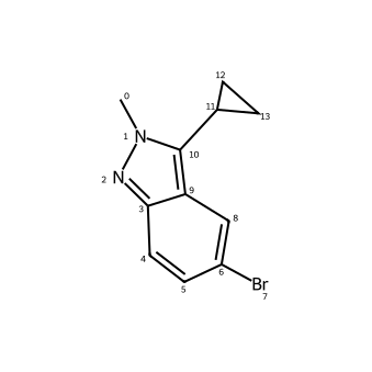 Cn1nc2ccc(Br)cc2c1C1CC1